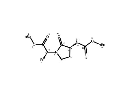 CCCCOC(=O)[C@H](C(C)C)N1CC[C@H](NC(=O)OC(C)(C)C)C1=O